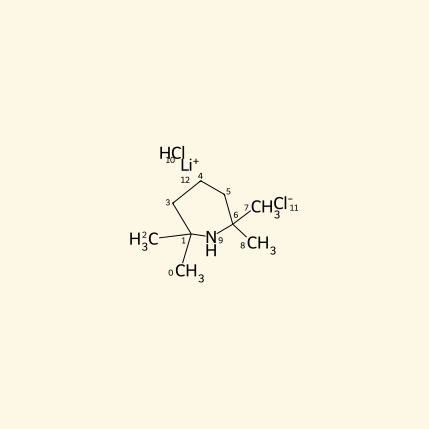 CC1(C)CCCC(C)(C)N1.Cl.[Cl-].[Li+]